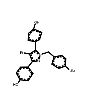 CCc1c(-c2ccc(O)cc2)nn(Cc2ccc(C(C)(C)C)cc2)c1-c1ccc(O)cc1